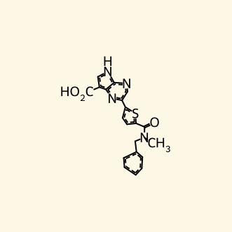 CN(Cc1ccccc1)C(=O)c1ccc(-c2cnc3[nH]cc(C(=O)O)c3n2)s1